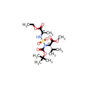 CCOC(=O)[C@@H](C)NS(=O)(=O)N(C(=O)OC(C)(C)C)[C@H](C(=O)OC)C(C)C